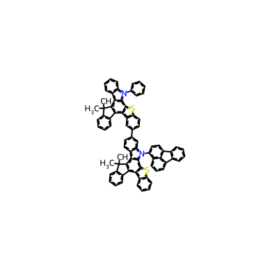 CC1(C)c2ccccc2-c2c1c1c3ccccc3n(-c3ccccc3)c1c1sc3ccc(-c4ccc5c6c7c(c8c9ccccc9sc8c6n(-c6ccc8c9c(cccc69)-c6ccccc6-8)c5c4)-c4ccccc4C7(C)C)cc3c21